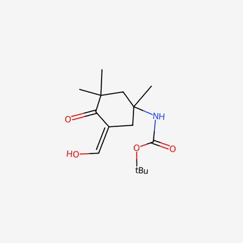 CC1(NC(=O)OC(C)(C)C)CC(=CO)C(=O)C(C)(C)C1